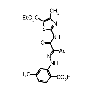 CCOC(=O)c1sc(NC(=O)/C(=N/Nc2cc(C)ccc2C(=O)O)C(C)=O)nc1C